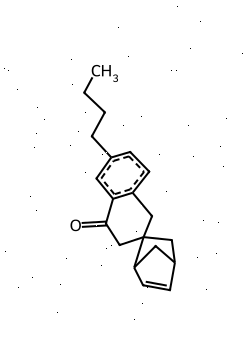 CCCCc1ccc2c(c1)C(=O)CC1(C2)CC2C=CC1C2